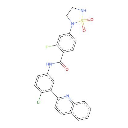 O=C(Nc1ccc(Cl)c(-c2ccc3ccccc3n2)c1)c1ccc(N2CCNS2(=O)=O)cc1F